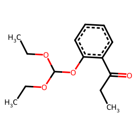 CCOC(OCC)Oc1ccccc1C(=O)CC